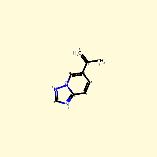 C=C(C)c1ccc2ncnn2c1